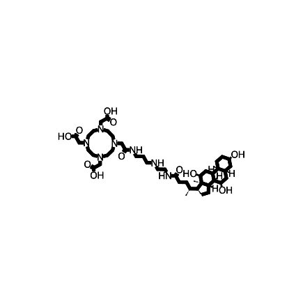 C[C@H](CCC(=O)NCCNCCCNC(=O)CN1CCN(CC(=O)O)CCN(CC(=O)O)CCN(CC(=O)O)CC1)[C@H]1CC[C@H]2[C@@H]3[C@H](O)C[C@@H]4C[C@H](O)CC[C@]4(C)[C@H]3C[C@H](O)[C@]12C